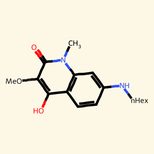 CCCCCCNc1ccc2c(O)c(OC)c(=O)n(C)c2c1